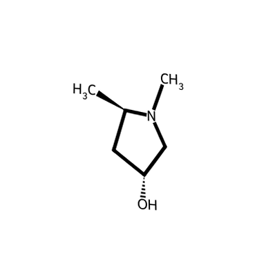 C[C@@H]1C[C@@H](O)CN1C